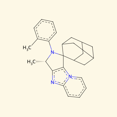 Cc1ccccc1N1[C@@H](C)c2nc3ccccn3c2C12C1CC3CC(C1)CC2C3